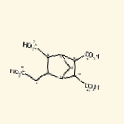 O=C(O)CC1C2CC(C1C(=O)O)C(C(=O)O)C2C(=O)O